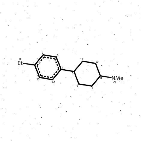 CCc1ccc(C2CCC(NC)CC2)cc1